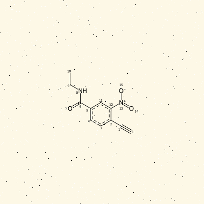 C#Cc1ccc(C(=O)NCC)cc1[N+](=O)[O-]